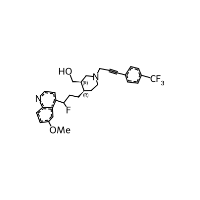 COc1ccc2nccc(C(F)CC[C@@H]3CCN(CC#Cc4ccc(C(F)(F)F)cc4)C[C@@H]3CO)c2c1